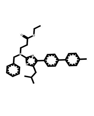 CCOC(=O)CCN(Cc1ccccc1)c1nc(-c2ccc(-c3ccc(C)cc3)cc2)c(CC(C)C)s1